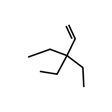 C=CC(CC)(CC)CC